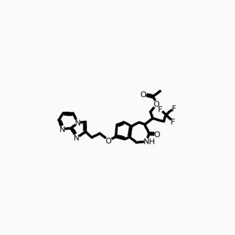 CC(=O)OCC(CC(F)(F)F)C1Cc2ccc(OCCc3cn4cccnc4n3)cc2CNC1=O